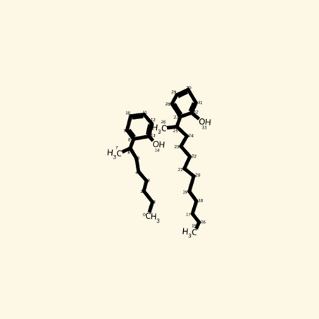 CCCCCCC(C)c1ccccc1O.CCCCCCCCCCC(C)c1ccccc1O